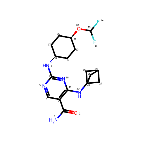 NC(=O)c1cnc(N[C@H]2CC[C@H](OC(F)F)CC2)nc1NC12CC(C1)C2